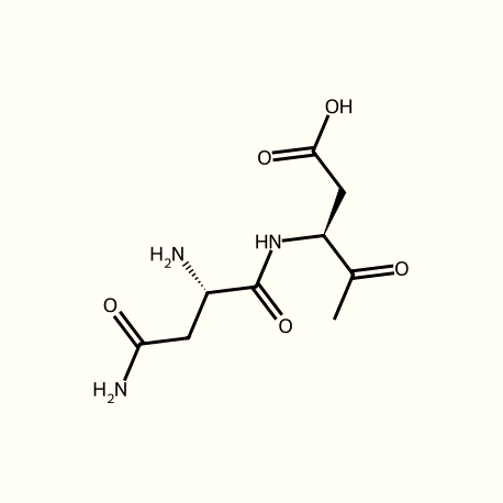 CC(=O)[C@H](CC(=O)O)NC(=O)[C@@H](N)CC(N)=O